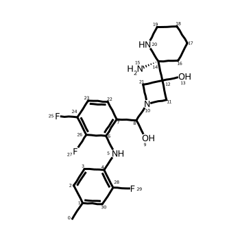 Cc1ccc(Nc2c(C(O)N3CC(O)([C@]4(N)CCCCN4)C3)ccc(F)c2F)c(F)c1